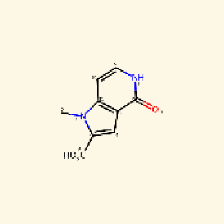 Cn1c(C(=O)O)cc2c(=O)[nH]ccc21